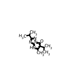 Cc1[nH]c2nc(C(C)C)nn2c(=O)c1C(C)C